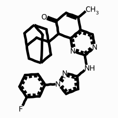 CC1=CC(=O)C(C23CC4CC(CC(C4)C2)C3)c2nc(Nc3ccn(-c4cccc(F)c4)n3)ncc21